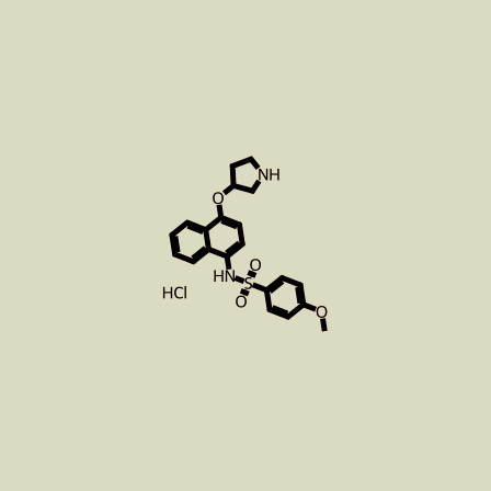 COc1ccc(S(=O)(=O)Nc2ccc(OC3CCNC3)c3ccccc23)cc1.Cl